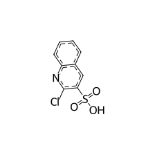 O=S(=O)(O)c1cc2ccccc2nc1Cl